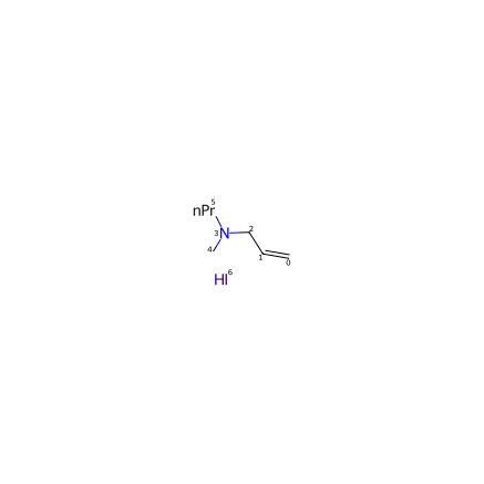 C=CCN(C)CCC.I